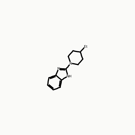 [CH2]CC1CCN(c2nc3ccccc3[nH]2)CC1